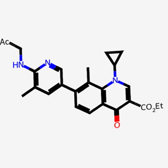 CCOC(=O)c1cn(C2CC2)c2c(C)c(-c3cnc(NCC(C)=O)c(C)c3)ccc2c1=O